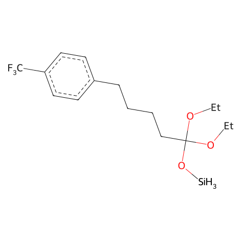 CCOC(CCCCc1ccc(C(F)(F)F)cc1)(O[SiH3])OCC